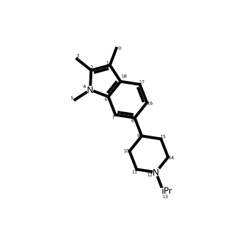 Cc1c(C)n(C)c2cc(C3CCN(C(C)C)CC3)ccc12